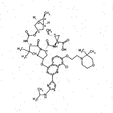 C=C[C@@H]1C[C@]1(NC(=O)[C@@H]1CC(Oc2cc(-c3csc(NC(C)C)n3)nc3c(Cl)c(OCCN4CCOCC4(C)C)ccc23)CN1C(=O)[C@@H](NC(=O)O[C@@H]1C[C@@H]2[C@H](C)[C@@H]2C1)C(C)(C)C)C(=O)O